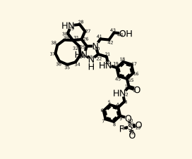 O=C(NCc1ccccc1OS(=O)(=O)F)c1cccc(NCC2NNC(C3CCNCC34CCCCCCCC4)N2CCCO)c1